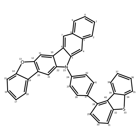 c1ccc2cc3c(cc2c1)c1cc2oc4ccccc4c2cc1n3-c1ccc(-c2cccc3sc4ccccc4c23)cc1